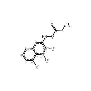 CCC(=O)ONc1nc2cccc(Br)c2[n+]([O-])[n+]1[O-]